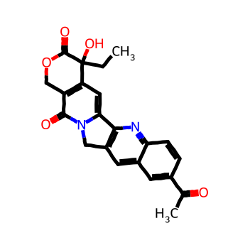 CCC1(O)C(=O)OCc2c1cc1n(c2=O)Cc2cc3cc(C(C)=O)ccc3nc2-1